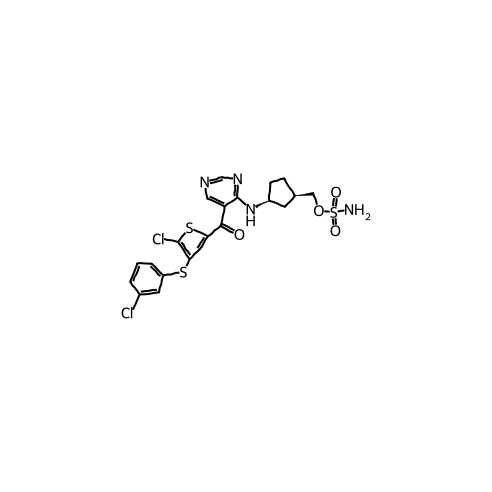 NS(=O)(=O)OC[C@@H]1CC[C@H](Nc2ncncc2C(=O)c2cc(Sc3cccc(Cl)c3)c(Cl)s2)C1